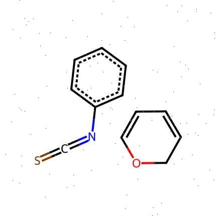 C1=CCOC=C1.S=C=Nc1ccccc1